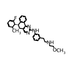 COCCNCCc1cccc(Nc2ncc3c(n2)-c2ccccc2[C@H](C2C(F)=CC=CC2C)C3)c1